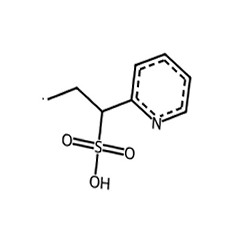 [CH2]CC(c1ccccn1)S(=O)(=O)O